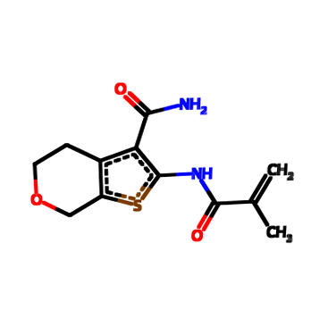 C=C(C)C(=O)Nc1sc2c(c1C(N)=O)CCOC2